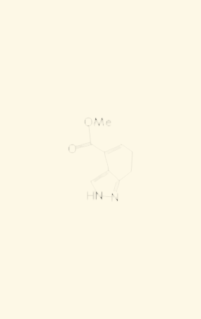 COC(=O)C1=CCCc2n[nH]cc21